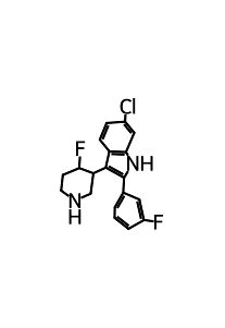 Fc1cccc(-c2[nH]c3cc(Cl)ccc3c2C2CNCCC2F)c1